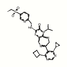 CCS(=O)(=O)c1ccc(CNc2nc3c(n(C(C)C)c2=O)=NCC(c2c(C4CCC4)ncnc2C2CC2)=NC=3)nc1